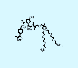 Cc1ncsc1-c1ccc(CNC(=O)[C@@H]2C[C@@H](O)CN2C(=O)[C@@H](NC(=O)COCC(C)(COCCOCCOCCN)COCCOCCOCCN)C(C)(C)C)cc1